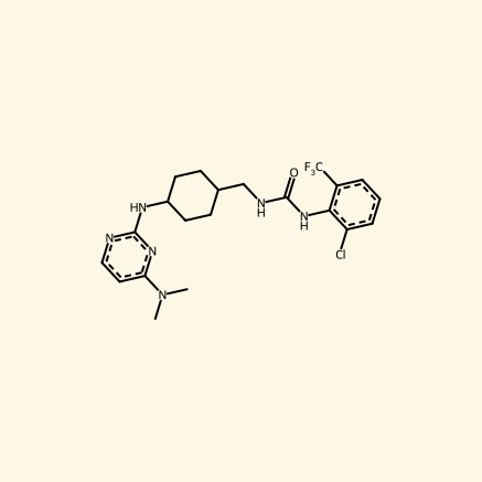 CN(C)c1ccnc(NC2CCC(CNC(=O)Nc3c(Cl)cccc3C(F)(F)F)CC2)n1